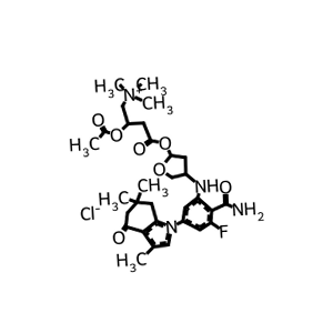 CC(=O)OC(CC(=O)OC1CC(Nc2cc(-n3cc(C)c4c3CC(C)(C)CC4=O)cc(F)c2C(N)=O)CO1)C[N+](C)(C)C.[Cl-]